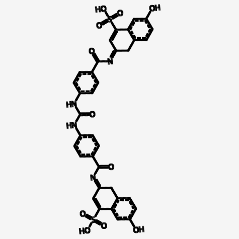 O=C(Nc1ccc(C(=O)N=C2C=C(S(=O)(=O)O)c3cc(O)ccc3C2)cc1)Nc1ccc(C(=O)N=C2C=C(S(=O)(=O)O)c3cc(O)ccc3C2)cc1